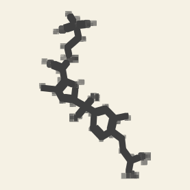 CCC(CC)(c1ccc(CCC(O)C(C)(C)C)c(C)c1)c1cc(C)c(C(=O)NCCS(C)(=O)=O)s1